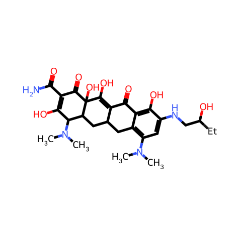 CCC(O)CNc1cc(N(C)C)c2c(c1O)C(=O)C1=C(O)C3(O)C(=O)C(C(N)=O)=C(O)C(N(C)C)C3CC1C2